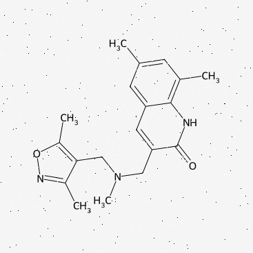 Cc1cc(C)c2[nH]c(=O)c(CN(C)Cc3c(C)noc3C)cc2c1